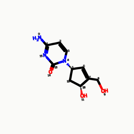 Nc1ccn([C@@H]2C=C(CO)[C@H](O)C2)c(=O)n1